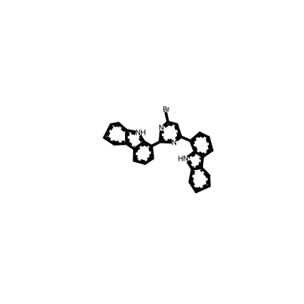 Brc1cc(-c2cccc3c2[nH]c2ccccc23)nc(-c2cccc3c2[nH]c2ccccc23)n1